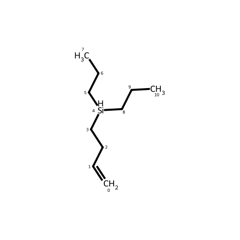 C=CCC[SiH](CCC)CCC